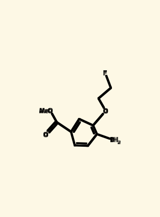 Bc1ccc(C(=O)OC)cc1OCCF